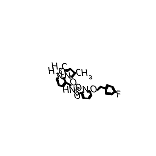 CC1CN(c2ncccc2C(=O)NS(=O)(=O)c2cccc(OCCc3ccc(F)cc3)n2)C(C)(C)C1